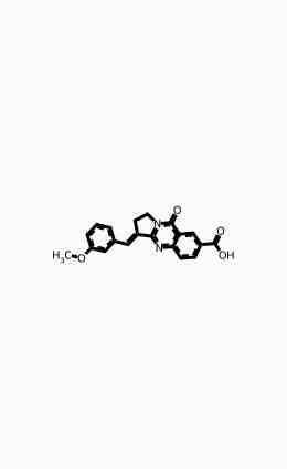 COc1cccc(C=C2CCn3c2nc2ccc(C(=O)O)cc2c3=O)c1